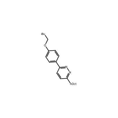 CCCCCCCCc1ccc(-c2ccc(OCC(C)CC)cc2)nn1